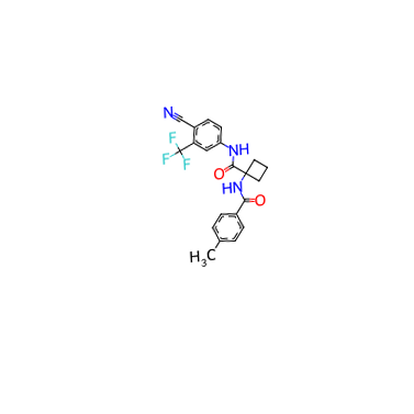 Cc1ccc(C(=O)NC2(C(=O)Nc3ccc(C#N)c(C(F)(F)F)c3)CCC2)cc1